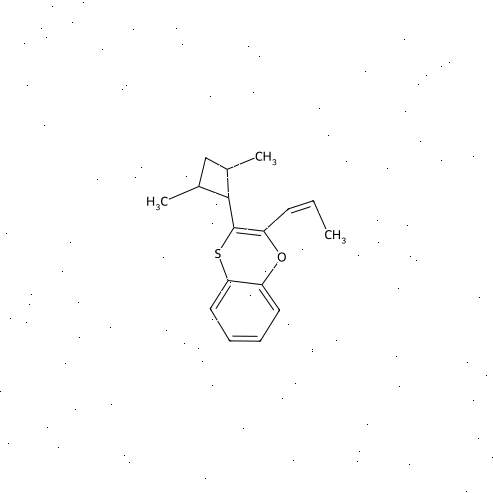 C/C=C\C1=C(C2C(C)CC2C)Sc2ccccc2O1